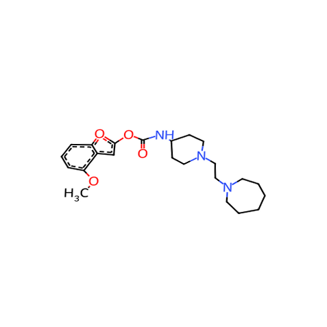 COc1cccc2oc(OC(=O)NC3CCN(CCN4CCCCCC4)CC3)cc12